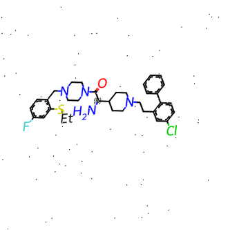 CCSc1cc(F)ccc1CN1CCN(C(=O)[C@H](N)C2CCN(CCc3cc(Cl)ccc3-c3ccccc3)CC2)CC1